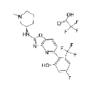 CN1CCC[C@@H](Nc2nc3nc(-c4c(O)cc(F)cc4C(F)(F)F)ccc3o2)C1.O=C(O)C(F)(F)F